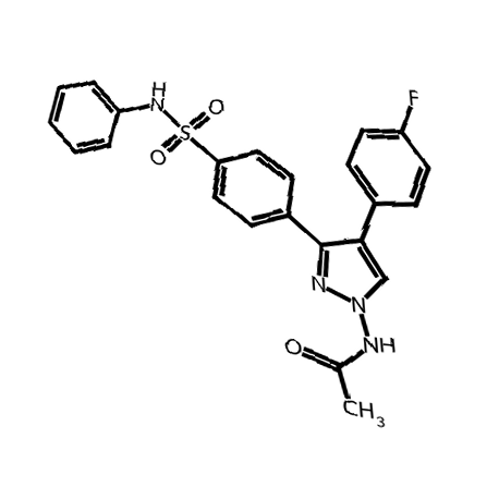 CC(=O)Nn1cc(-c2ccc(F)cc2)c(-c2ccc(S(=O)(=O)Nc3ccccc3)cc2)n1